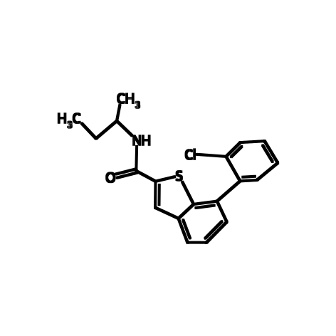 CCC(C)NC(=O)c1cc2cccc(-c3ccccc3Cl)c2s1